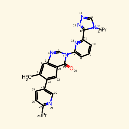 Cc1cc2ncn(-c3cccc(-c4nncn4C(C)C)n3)c(=O)c2cc1-c1ccc(C(C)C)nc1